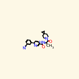 C[C@H](NC(=O)c1ccc(-c2cccc(C#N)c2)nc1)C(=O)N1CCC2(CC1)CC2